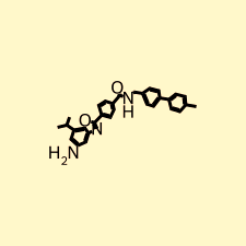 Cc1ccc(-c2ccc(CNC(=O)c3ccc(-c4nc5cc(N)cc(C(C)C)c5o4)cc3)cc2)cc1